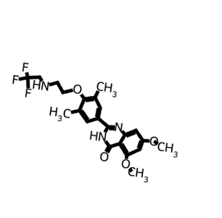 COc1cc(OC)c2c(=O)[nH]c(-c3cc(C)c(OCCNCC(F)(F)F)c(C)c3)nc2c1